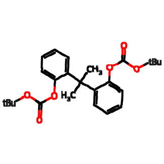 CC(C)(C)OC(=O)Oc1ccccc1C(C)(C)c1ccccc1OC(=O)OC(C)(C)C